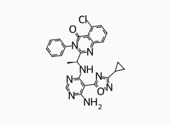 C[C@H](Nc1ncnc(N)c1-c1nc(C2CC2)no1)c1nc2cccc(Cl)c2c(=O)n1-c1ccccc1